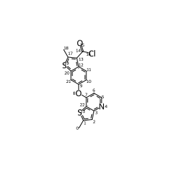 Cc1cc2nccc(Oc3ccc4c(C(=O)Cl)c(C)sc4c3)c2s1